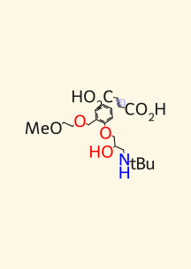 COCCOCc1ccccc1OCC(O)CNC(C)(C)C.O=C(O)/C=C/C(=O)O